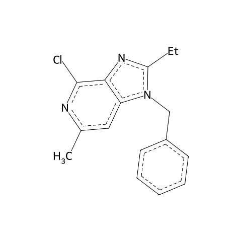 CCc1nc2c(Cl)nc(C)cc2n1Cc1ccccc1